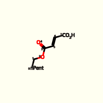 CCCCCCOC(=O)C=CC(=O)O